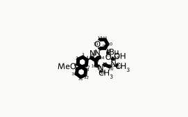 CO[C@@H]1CC[C@@H](c2nn(C3CCCCO3)cc2CN(C)CCN(C)C(O)OC(C)(C)C)CC12CCCCC2